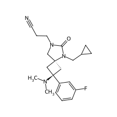 CN(C)[C@]1(c2cccc(F)c2)C[C@@]2(CN(CCC#N)C(=O)N2CC2CC2)C1